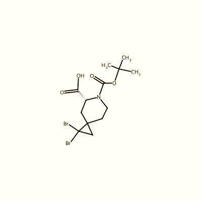 CC(C)(C)OC(=O)N1CCC2(C[C@@H]1C(=O)O)CC2(Br)Br